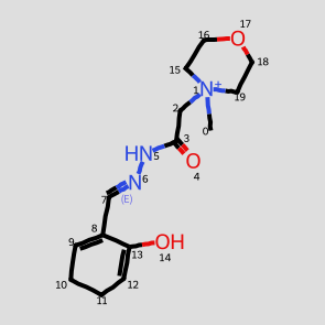 C[N+]1(CC(=O)N/N=C/C2=CCCC=C2O)CCOCC1